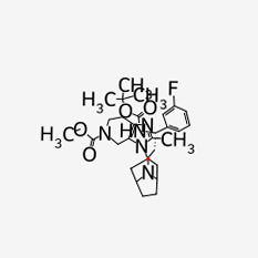 COC(=O)N1CCc2nc(C)n(C3CC4CCC(C3)N4CC[C@H](NC(=O)OC(C)(C)C)c3cccc(F)c3)c2C1